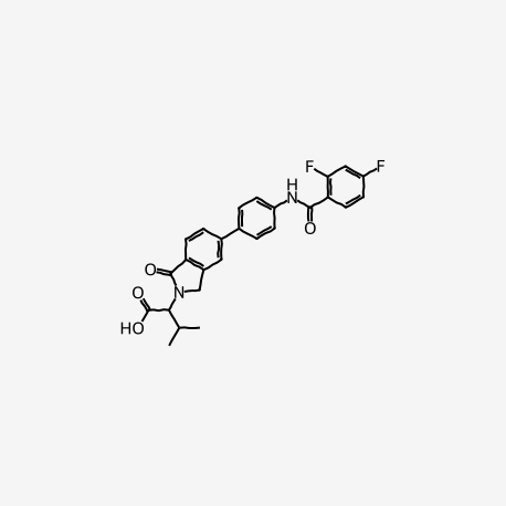 CC(C)C(C(=O)O)N1Cc2cc(-c3ccc(NC(=O)c4ccc(F)cc4F)cc3)ccc2C1=O